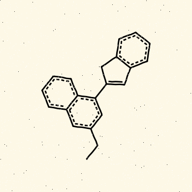 CCc1cc(C2=Cc3ccccc3[CH]2)c2ccccc2c1